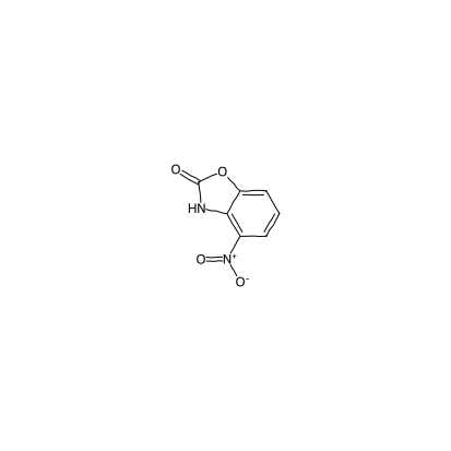 O=c1[nH]c2c([N+](=O)[O-])cccc2o1